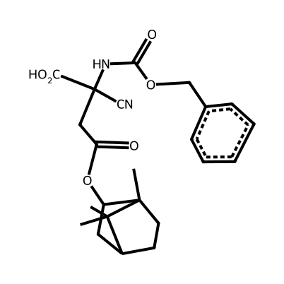 CC1(C)C2CCC1(C)C(OC(=O)CC(C#N)(NC(=O)OCc1ccccc1)C(=O)O)C2